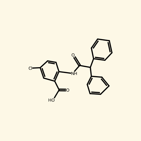 O=C(O)c1cc(Cl)ccc1NC(=O)C(c1ccccc1)c1ccccc1